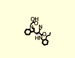 CCCc1ccccc1NC(=O)/C(C#N)=C/c1cn(CC(=O)O)c2ccccc12